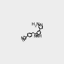 Cn1cc(-c2ccc(Cc3n[nH]c4ccc(-c5ccnc(N)c5)cc34)cc2)cn1